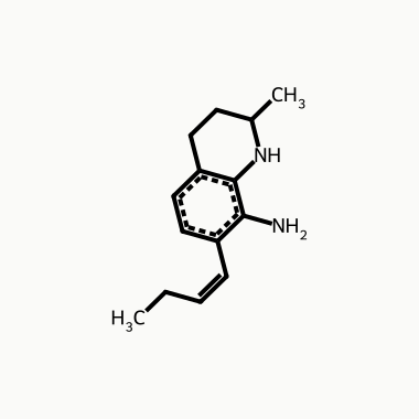 CC/C=C\c1ccc2c(c1N)NC(C)CC2